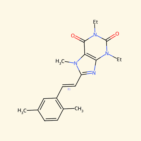 CCn1c(=O)c2c(nc(/C=C/c3cc(C)ccc3C)n2C)n(CC)c1=O